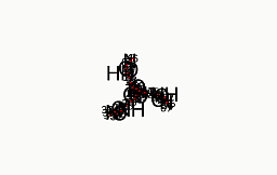 CC(CN1CC1C)OC(=O)NCCCCCCn1c(=O)n(CCCCCCNC(=O)OC(C)CN2CC2C)c(=O)n(CCCCCCNC(=O)OC(C)CN2CC2C)c1=O